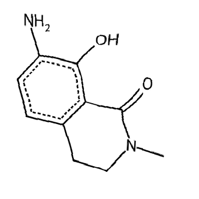 CN1CCc2ccc(N)c(O)c2C1=O